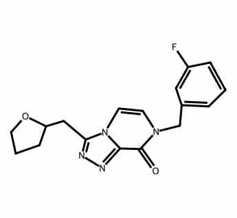 O=c1c2nnc(CC3CCCO3)n2ccn1Cc1cccc(F)c1